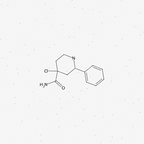 NC(=O)C1(Cl)CC[N]C(c2ccccc2)C1